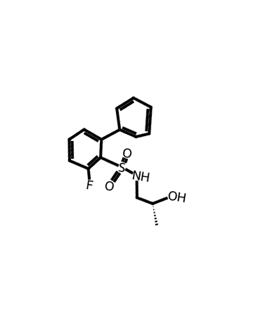 C[C@@H](O)CNS(=O)(=O)c1c(F)cccc1-c1ccccc1